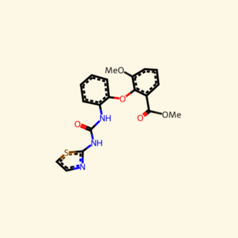 COC(=O)c1cccc(OC)c1Oc1ccccc1NC(=O)Nc1nccs1